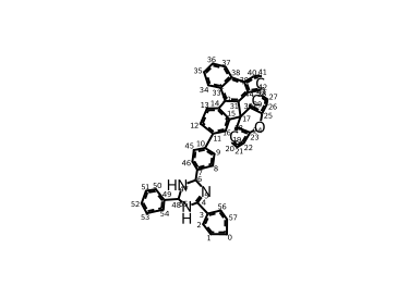 c1ccc(C2=NC(c3ccc(-c4ccc5c(c4)C4(c6ccccc6Oc6ccccc64)c4c-5c5ccccc5c5ccccc45)cc3)NC(c3ccccc3)N2)cc1